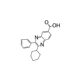 O=C(O)c1ccc2nc(C3CCCCC3)c(-c3ccccc3)nc2c1